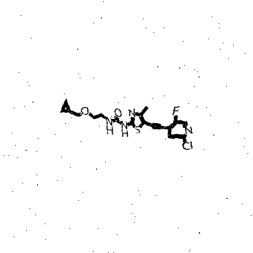 Cc1nc(NC(=O)NCCOCC2CC2)sc1C#Cc1cc(Cl)ncc1F